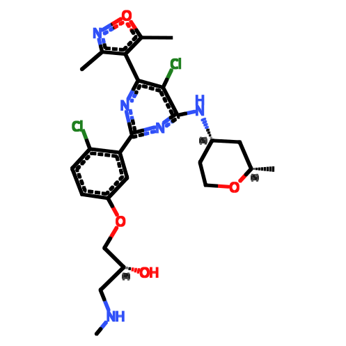 CNC[C@@H](O)COc1ccc(Cl)c(-c2nc(N[C@H]3CCO[C@@H](C)C3)c(Cl)c(-c3c(C)noc3C)n2)c1